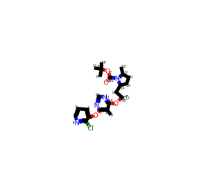 Cc1c(Oc2cccnc2Cl)ncnc1O[C@@H](C)CC1CCC(C)N1C(=O)OC(C)(C)C